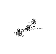 CCCCCCCCCCC(OC(=O)OCc1ccc(NC(=O)[C@@H](N)CC(C)C)cc1)C(=O)NCCNC(=O)OC(C)(C)C